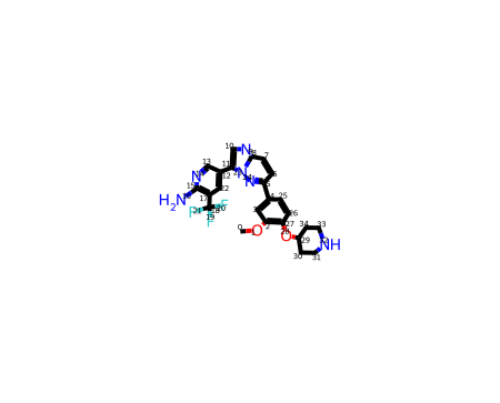 COc1cc(-c2ccc3ncc(-c4cnc(N)c(C(F)(F)F)c4)n3n2)ccc1OC1CCNCC1